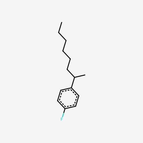 CCCCCCC(C)c1ccc(F)cc1